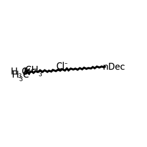 CCCCCCCCCCCCCCCCCCCCCCCCCCCCCCCCCCCCCCCCCCCCC[N+](C)(C)C.[Cl-]